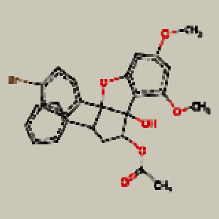 COc1cc(OC)c2c(c1)OC1(c3ccc(Br)cc3)C(c3ccccc3)CC(OC(C)=O)C21O